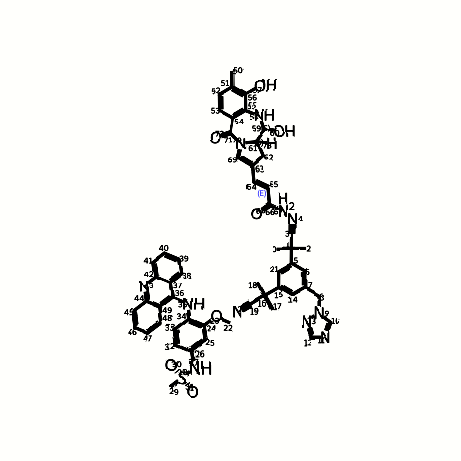 CC(C)(C#N)c1cc(Cn2cncn2)cc(C(C)(C)C#N)c1.COc1cc(NS(C)(=O)=O)ccc1Nc1c2ccccc2nc2ccccc12.Cc1ccc2c(c1O)N[C@@H](O)[C@@H]1CC(/C=C/C(N)=O)=CN1C2=O